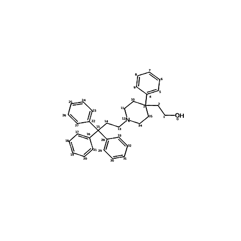 OCCC1(c2ccccc2)CCN(CCC(c2ccccc2)(c2ccccc2)c2ccccc2)CC1